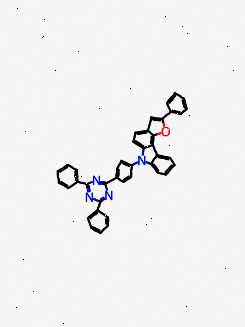 c1ccc(-c2nc(-c3ccccc3)nc(-c3ccc(-n4c5ccccc5c5c6oc(-c7ccccc7)cc6ccc54)cc3)n2)cc1